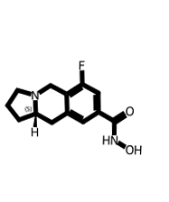 O=C(NO)c1cc(F)c2c(c1)C[C@@H]1CCCN1C2